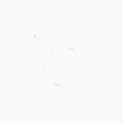 Bc1ccc(OC)c(N)c1C=C